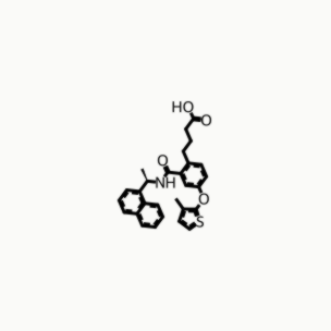 Cc1ccsc1Oc1ccc(CCCC(=O)O)c(C(=O)N[C@H](C)c2cccc3ccccc23)c1